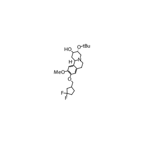 COc1cc2c(cc1OCC1CCC(F)(F)C1)CCN1C[C@@H](OC(C)(C)C)[C@H](O)C[C@H]21